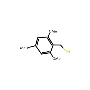 COc1cc(OC)c(CS)c(OC)c1